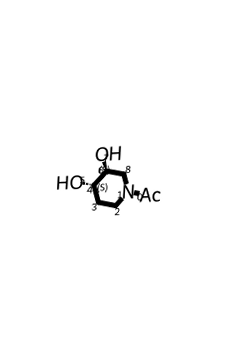 CC(=O)N1CC[C@H](O)[C@@H](O)C1